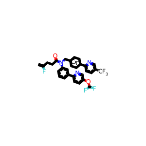 C=C(F)CCC(=O)N(CC12CCC(c3ccc(C(F)(F)F)cn3)(CC1)CC2)c1cccc(-c2ccc(OC(F)F)cn2)c1